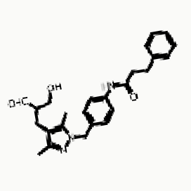 Cc1nn(Cc2ccc(NC(=O)CCc3ccccc3)cc2)c(C)c1CC(C=O)CO